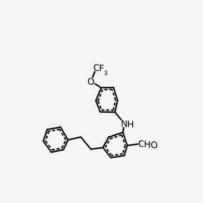 O=Cc1ccc(CCc2ccccc2)cc1Nc1ccc(OC(F)(F)F)cc1